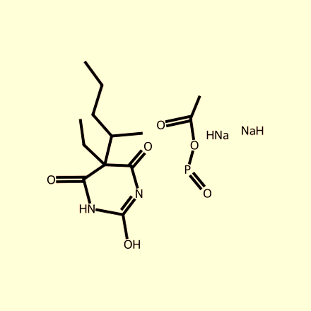 CC(=O)OP=O.CCCC(C)C1(CC)C(=O)N=C(O)NC1=O.[NaH].[NaH]